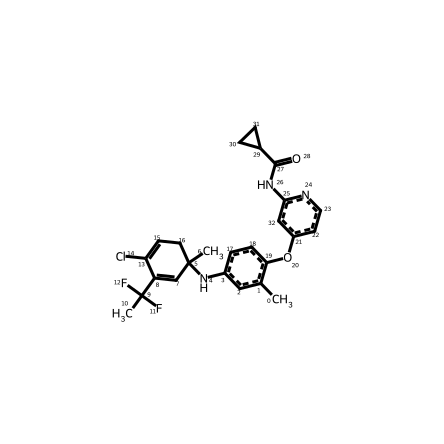 Cc1cc(NC2(C)C=C(C(C)(F)F)C(Cl)=CC2)ccc1Oc1ccnc(NC(=O)C2CC2)c1